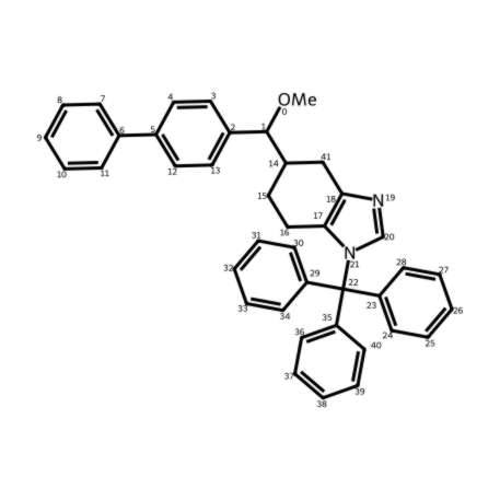 COC(c1ccc(-c2ccccc2)cc1)C1CCc2c(ncn2C(c2ccccc2)(c2ccccc2)c2ccccc2)C1